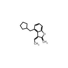 C=c1oc2cccc(CC3CCCC3)c2/c1=C/C